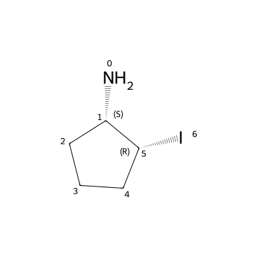 N[C@H]1CCC[C@H]1I